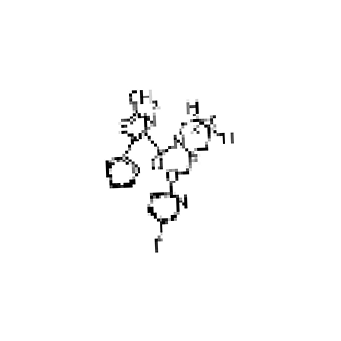 Cc1nc(C(=O)N2C[C@@H]3C[C@@H]3C[C@H]2COc2ccc(F)cn2)c(-c2ccccc2)s1